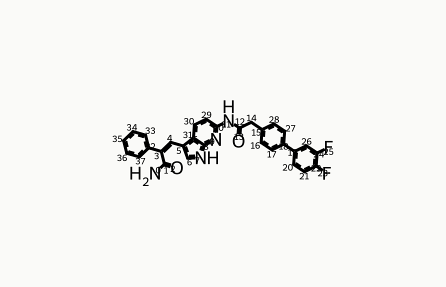 NC(=O)C(=Cc1c[nH]c2nc(NC(=O)Cc3ccc(-c4ccc(F)c(F)c4)cc3)ccc12)c1ccccc1